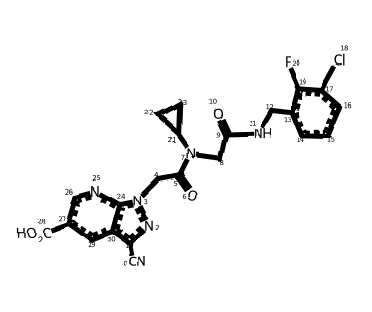 N#Cc1nn(CC(=O)N(CC(=O)NCc2cccc(Cl)c2F)C2CC2)c2ncc(C(=O)O)cc12